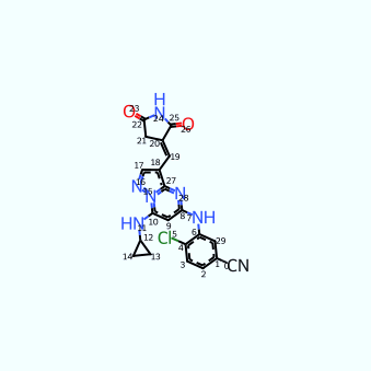 N#Cc1ccc(Cl)c(Nc2cc(NC3CC3)n3ncc(/C=C4\CC(=O)NC4=O)c3n2)c1